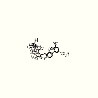 COc1c(-c2cc(C(=O)O)cc(N(C)C)c2)ccc(Cl)c1CN1OC(O)[C@@H]([C@H](C)O)[C@H]1C(=O)N[C@H]1C[C@H]2C[C@@H]([C@@H]1C)C2(C)C